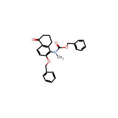 CN(C(=O)OCc1ccccc1)c1c(OCc2ccccc2)ccc2c1CCCC2=O